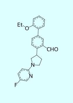 CCOc1ccccc1-c1ccc(C2CCN(c3ccc(F)cn3)C2)c(C=O)c1